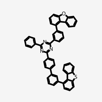 c1ccc(-c2nc(-c3ccc(-c4cccc(-c5cccc6sc7ccccc7c56)c4)cc3)nc(-c3cccc(-c4cccc5oc6ccccc6c45)c3)n2)cc1